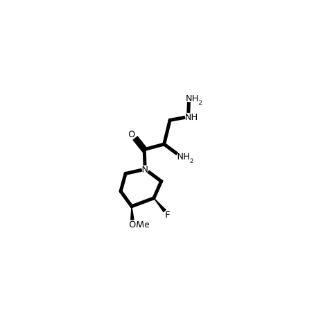 CO[C@H]1CCN(C(=O)C(N)CNN)C[C@H]1F